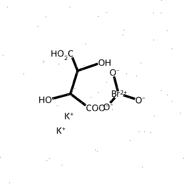 O=C([O-])C(O)C(O)C(=O)O.[K+].[K+].[O-][Br+2]([O-])[O-]